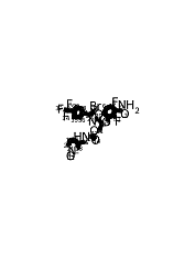 NC(=O)c1c(F)ccc(OC(COC(=O)NCc2ccc[n+]([O-])c2)c2nc(-c3ccc(C(F)(F)F)cc3)c(Br)o2)c1F